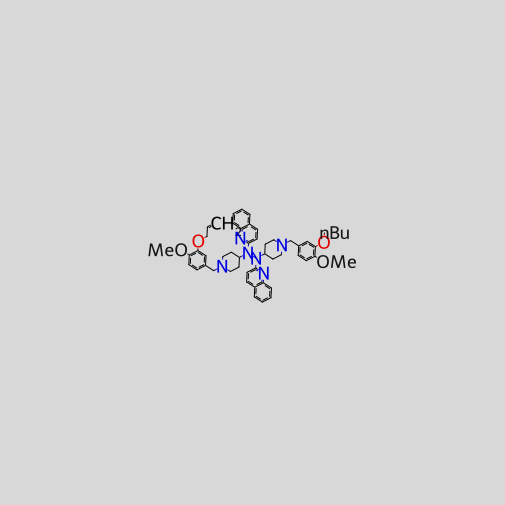 C=CCOc1cc(CN2CCC(N(c3ccc4ccccc4n3)N(c3ccc4ccccc4n3)C3CCN(Cc4ccc(OC)c(OCCCC)c4)CC3)CC2)ccc1OC